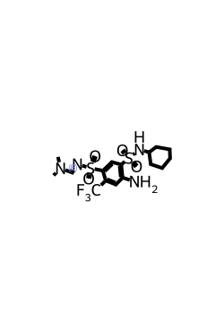 CN(C)/C=N/S(=O)(=O)c1cc(S(=O)(=O)NC2CCCCC2)c(N)cc1C(F)(F)F